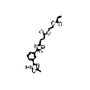 C=CC(=O)OCCOC(=O)CCc1nc(-c2cccc(C3N=C(C)ON3)c2)no1